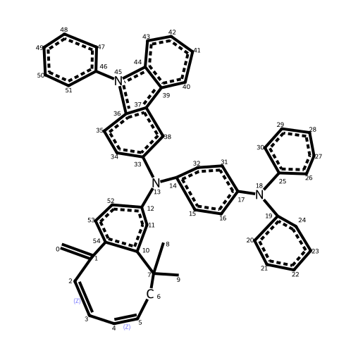 C=C1/C=C\C=C/CC(C)(C)c2cc(N(c3ccc(N(c4ccccc4)c4ccccc4)cc3)c3ccc4c(c3)c3ccccc3n4-c3ccccc3)ccc21